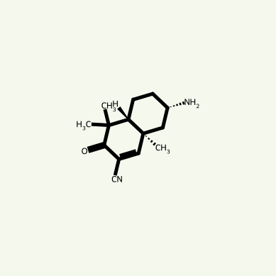 CC1(C)C(=O)C(C#N)=C[C@]2(C)C[C@@H](N)CC[C@@H]12